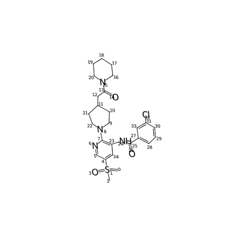 C=S(C)(=O)c1cnc(N2CCC(CC(=O)N3CCCCC3)CC2)c(NC(=O)c2cccc(Cl)c2)c1